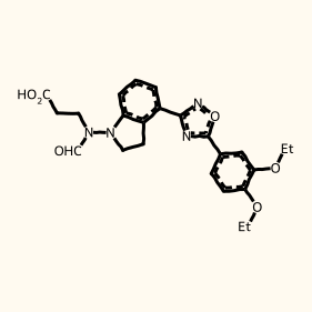 CCOc1ccc(-c2nc(-c3cccc4c3CCN4N(C=O)CCC(=O)O)no2)cc1OCC